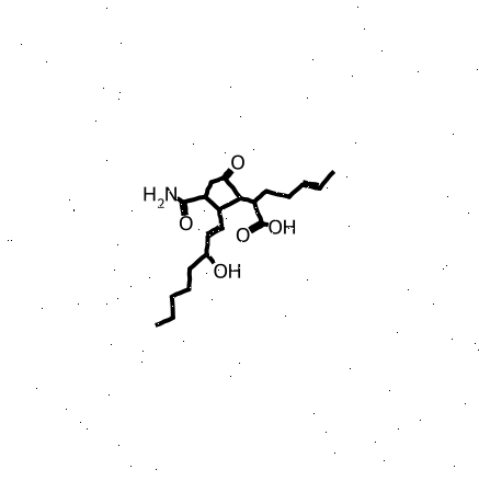 C/C=C/CCC(C(=O)O)C1C(=O)CC(C(N)=O)C1/C=C/C(O)CCCCC